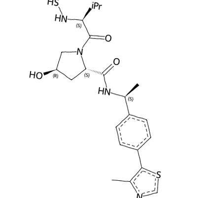 Cc1ncsc1-c1ccc([C@H](C)NC(=O)[C@@H]2C[C@@H](O)CN2C(=O)[C@@H](NS)C(C)C)cc1